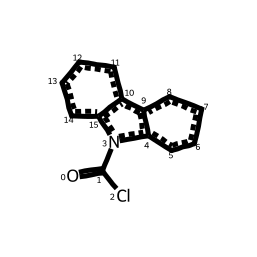 O=C(Cl)n1c2ccccc2c2ccccc21